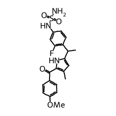 COc1ccc(C(=O)c2[nH]c(C(C)c3ccc(NS(N)(=O)=O)cc3F)cc2C)cc1